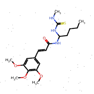 CCCCC(NC(=O)/C=C/c1cc(OC)c(OC)c(OC)c1)NC(=S)NC